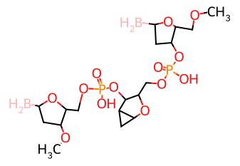 BC1CC(OC)C(COP(=O)(O)OC2C(COP(=O)(O)OC3CC(B)OC3COC)OC3CC32)O1